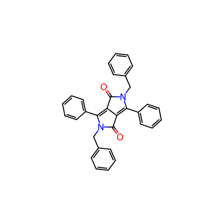 O=C1C2=C(c3ccccc3)N(Cc3ccccc3)C(=O)C2=C(c2ccccc2)N1Cc1ccccc1